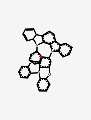 C1=CC2c3ccc4c5ccccc5n(-c5cc6c7c(c5)Oc5ccccc5B7c5ccccc5O6)c4c3N(c3ccccc3)C2C=C1